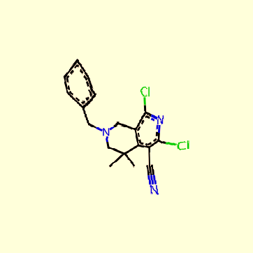 CC1(C)CN(Cc2ccccc2)Cc2c(Cl)nc(Cl)c(C#N)c21